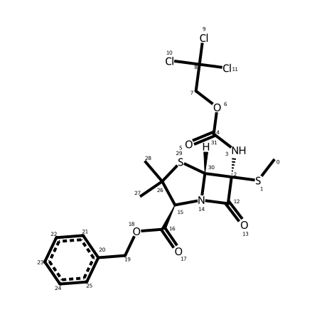 CS[C@@]1(NC(=O)OCC(Cl)(Cl)Cl)C(=O)N2[C@@H](C(=O)OCc3ccccc3)C(C)(C)S[C@@H]21